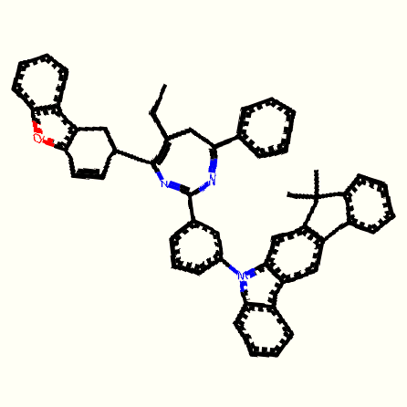 CCC1=C(C2C=Cc3oc4ccccc4c3C2)N=C(c2cccc(-n3c4ccccc4c4cc5c(cc43)C(C)(C)c3ccccc3-5)c2)N=C(c2ccccc2)C1